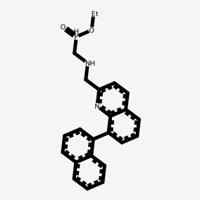 CCO[PH](=O)CNCc1ccc2cccc(-c3cccc4ccccc34)c2n1